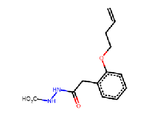 C=CCCOc1ccccc1CC(=O)NNC(=O)O